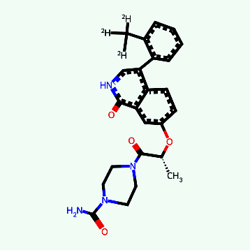 [2H]C([2H])([2H])c1ccccc1-c1c[nH]c(=O)c2cc(O[C@H](C)C(=O)N3CCN(C(N)=O)CC3)ccc12